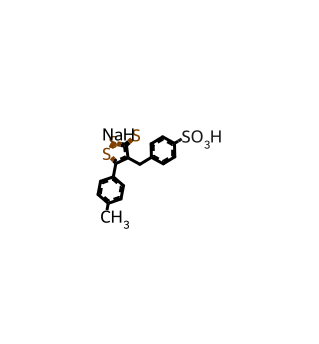 Cc1ccc(-c2ssc(=S)c2Cc2ccc(S(=O)(=O)O)cc2)cc1.[NaH]